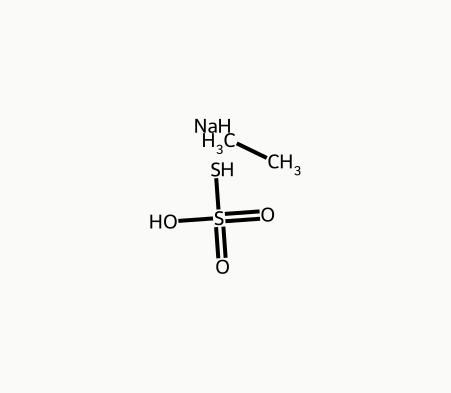 CC.O=S(=O)(O)S.[NaH]